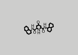 O=C(Nc1cccc2ccccc12)c1cc(=O)cc(C(=O)Nc2cccc3ccccc23)[nH]1